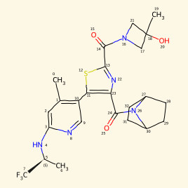 Cc1cc(N[C@@H](C)C(F)(F)F)ncc1-c1sc(C(=O)N2CC(C)(O)C2)nc1C(=O)N1C2CCC1CC2